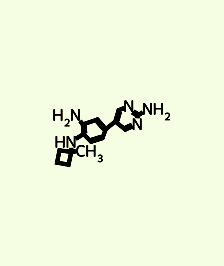 CC1(Nc2ccc(-c3cnc(N)nc3)cc2N)CCC1